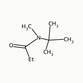 CCC(=O)N(C)C(C)(C)C